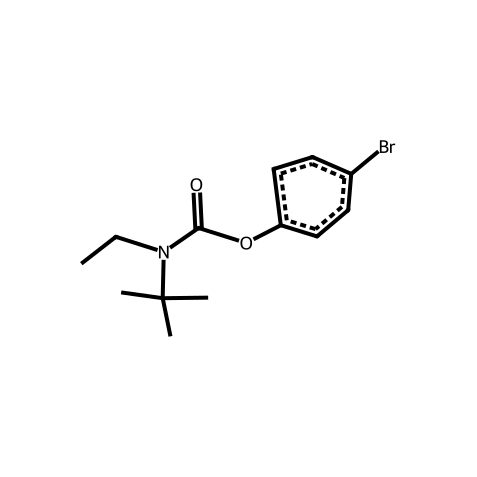 CCN(C(=O)Oc1ccc(Br)cc1)C(C)(C)C